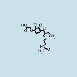 CCC(CSCCNC(C)=O)C(=O)c1ccc(OCC(=O)O)c(Cl)c1Cl